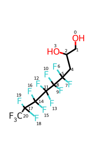 OCC(O)CC(F)(F)C(F)(F)C(F)(F)C(F)(F)C(F)(F)C(F)(F)F